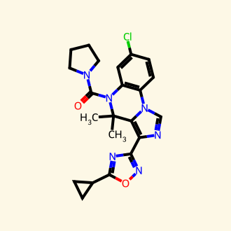 CC1(C)c2c(-c3noc(C4CC4)n3)ncn2-c2ccc(Cl)cc2N1C(=O)N1CCCC1